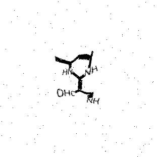 C=C1C=C(C)N/C(=C(\C=N)C=O)N1